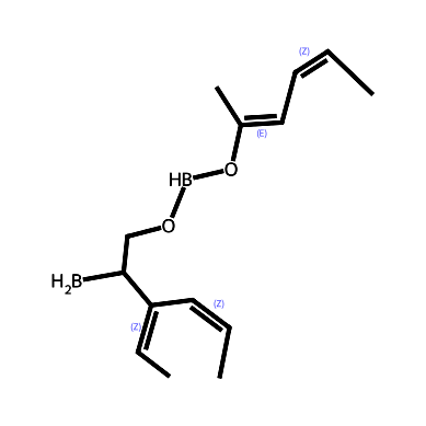 BC(COBO/C(C)=C/C=C\C)C(/C=C\C)=C/C